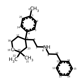 Cc1ccc(C2(CCNCCc3ccccc3)CCOC(C)(C)C2)cc1